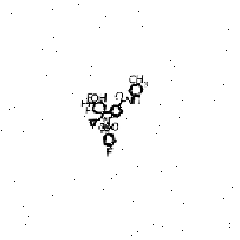 Cc1cccc(NC(=O)c2ccc3c(c2)C2(CCC(O)(C(F)(F)F)CC2)C(C2CC2)N3S(=O)(=O)c2ccc(F)cc2)c1